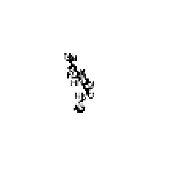 Cc1ncc(C(=O)NCCN2CCCC2(C)C)cc1Nc1nn(C)c2c1cnn1cc(-c3cn(C)cn3)cc21